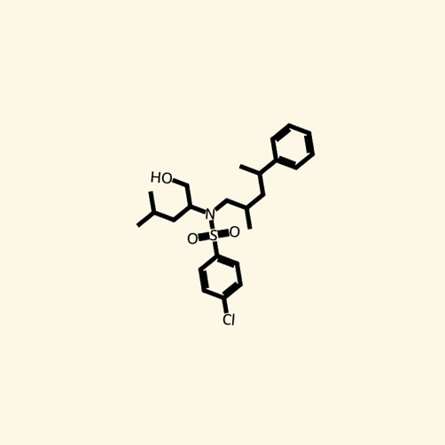 CC(C)CC(CO)N(CC(C)CC(C)c1ccccc1)S(=O)(=O)c1ccc(Cl)cc1